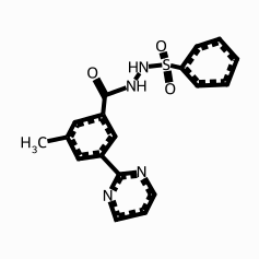 Cc1cc(C(=O)NNS(=O)(=O)c2ccccc2)cc(-c2ncccn2)c1